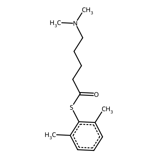 Cc1cccc(C)c1SC(=O)CCCCN(C)C